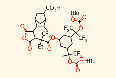 CCC(C(=O)OC1CC(C(C)(OC(=O)OC(C)(C)C)C(F)(F)F)CC(C(OC(=O)OC(C)(C)C)(C(F)(F)F)C(F)(F)F)C1)(C1C(=O)OC(=O)C1C1C2CC(C(=O)O)C(C2)C1C)C(F)(F)F